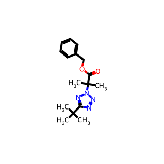 CC(C)(C)c1nnn(C(C)(C)C(=O)OCc2ccccc2)n1